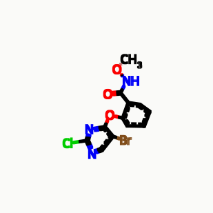 CONC(=O)c1ccccc1Oc1nc(Cl)ncc1Br